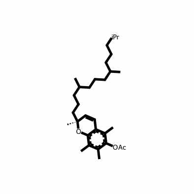 CC(=O)Oc1c(C)c(C)c2c(c1C)C=C[C@](C)(CCCC(C)CCCC(C)CCCC(C)C)O2